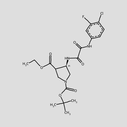 CCOC(=O)C1CN(C(=O)OC(C)(C)C)C[C@@H]1NC(=O)C(=O)Nc1ccc(Cl)c(F)c1